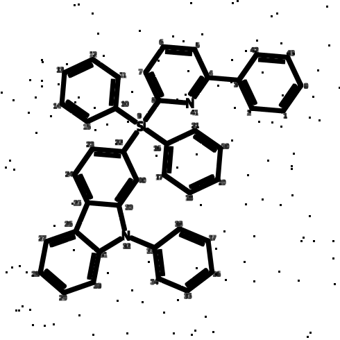 c1ccc(-c2cccc([Si](c3ccccc3)(c3ccccc3)c3ccc4c5ccccc5n(-c5ccccc5)c4c3)n2)cc1